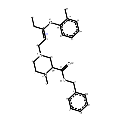 CC/C(=C\CN1CCN(C)C(C(=O)OCc2ccccc2)C1)Oc1ccccc1C